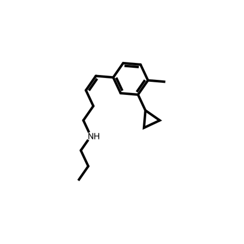 CCCNCC/C=C\c1ccc(C)c(C2CC2)c1